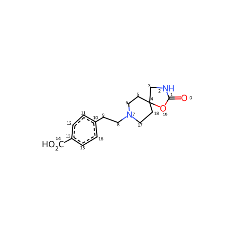 O=C1NCC2(CCN(CCc3ccc(C(=O)O)cc3)CC2)O1